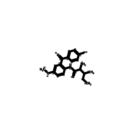 CCC(C)C(N)C(=O)Nc1ccc(OC)cc1C(=O)c1ccc(F)cc1